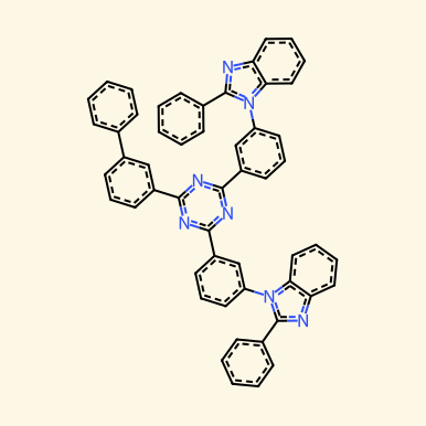 c1ccc(-c2cccc(-c3nc(-c4cccc(-n5c(-c6ccccc6)nc6ccccc65)c4)nc(-c4cccc(-n5c(-c6ccccc6)nc6ccccc65)c4)n3)c2)cc1